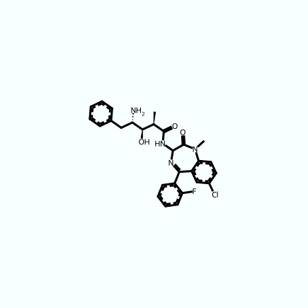 C[C@@H](C(=O)NC1N=C(c2ccccc2F)c2cc(Cl)ccc2N(C)C1=O)[C@@H](O)[C@@H](N)Cc1ccccc1